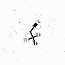 [2H]C([2H])([2H])CC#N